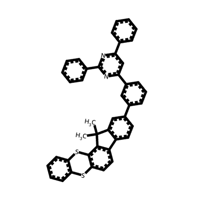 CC1(C)c2cc(-c3cccc(-c4cc(-c5ccccc5)nc(-c5ccccc5)n4)c3)ccc2-c2ccc3c(c21)Sc1ccccc1S3